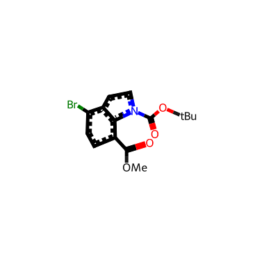 COC(=O)c1ccc(Br)c2ccn(C(=O)OC(C)(C)C)c12